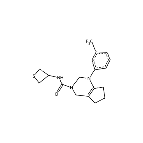 O=C(NC1CSC1)N1CC2=C(CCC2)N(c2cccc(C(F)(F)F)c2)C1